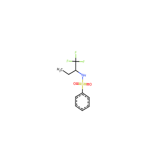 CCC(NS(=O)(=O)c1ccccc1)C(F)(F)F